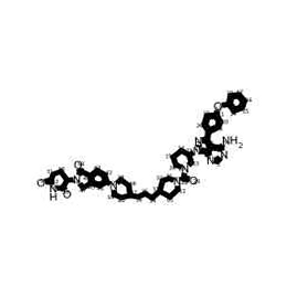 Nc1ncnc2c1c(-c1ccc(Oc3ccccc3)cc1)nn2C1CCCN(C(=O)N2CCC(CCCC3CCN(c4ccc5c(c4)CN(C4CCC(=O)NC4=O)C5=O)CC3)CC2)C1